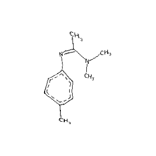 CC(=Nc1ccc(C)cc1)N(C)C